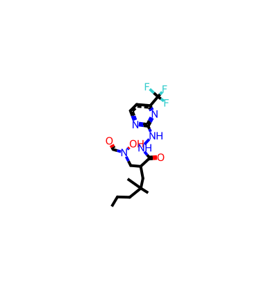 CCCC(C)(C)CC(CN(O)C=O)C(=O)NNc1nccc(C(F)(F)F)n1